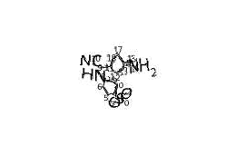 CS(=O)(=O)c1ccc(NC(C#N)c2ccc(CN)cc2)cc1